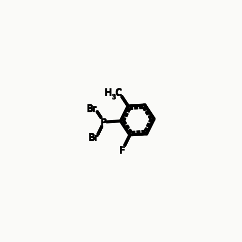 Cc1cccc(F)c1P(Br)Br